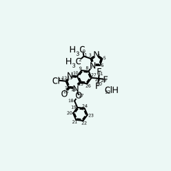 CC(C)c1nccn1-c1cc2nc(Cl)c(=O)n(OCc3ccccc3)c2cc1C(F)(F)F.Cl